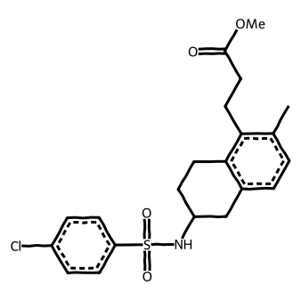 COC(=O)CCc1c(C)ccc2c1CCC(NS(=O)(=O)c1ccc(Cl)cc1)C2